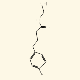 CCOC(=O)CCCc1ccc(I)cc1